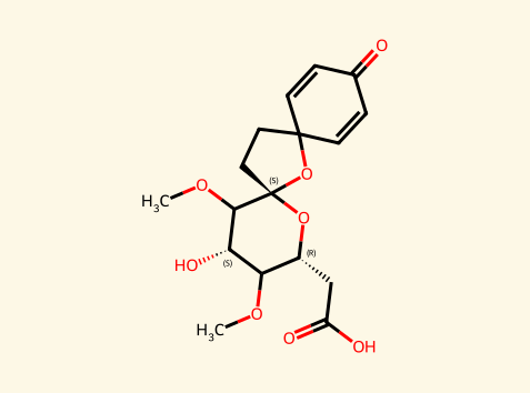 COC1[C@H](O)C(OC)[C@@]2(CCC3(C=CC(=O)C=C3)O2)O[C@@H]1CC(=O)O